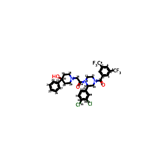 O=C(c1cc(C(F)(F)F)cc(C(F)(F)F)c1)N1CCN(C(=O)CN2CCC(O)(c3ccccc3)CC2)C(c2ccc(Cl)c(Cl)c2)C1